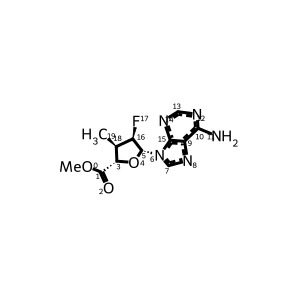 COC(=O)[C@H]1O[C@@H](n2cnc3c(N)ncnc32)[C@H](F)[C@@H]1C